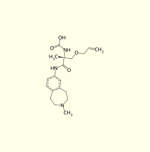 C=CCOC[C@@](C)(NC(=O)O)C(=O)Nc1ccc2c(c1)CCN(C)CC2